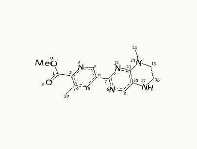 COC(=O)c1ncc(-c2ncc3c(n2)N(C)CCN3)cc1C